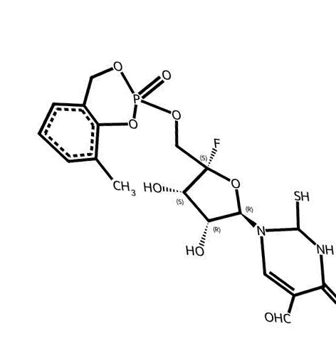 Cc1cccc2c1OP(=O)(OC[C@@]1(F)O[C@@H](N3C=C(C=O)C(=O)NC3S)[C@H](O)[C@@H]1O)OC2